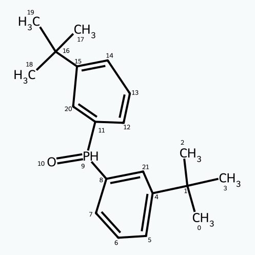 CC(C)(C)c1cccc([PH](=O)c2cccc(C(C)(C)C)c2)c1